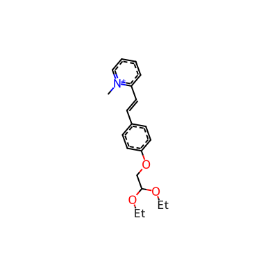 CCOC(COc1ccc(/C=C/c2cccc[n+]2C)cc1)OCC